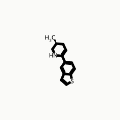 C[C@H]1CC=C(c2ccc3sccc3c2)NC1